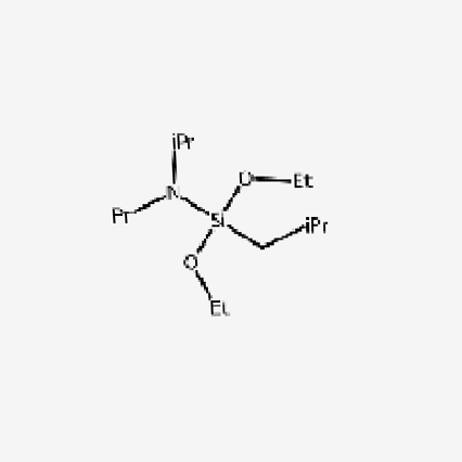 CCO[Si](CC(C)C)(OCC)N(C(C)C)C(C)C